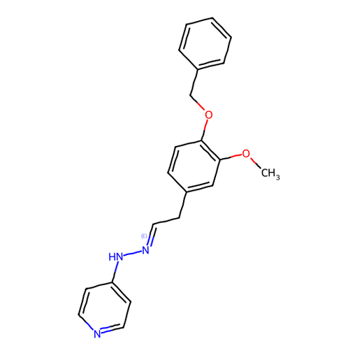 COc1cc(C/C=N/Nc2ccncc2)ccc1OCc1ccccc1